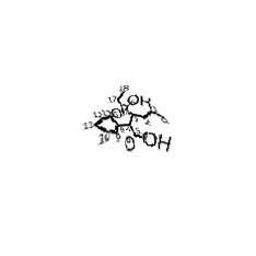 CCCC(C(C(=O)O)c1ccccc1)P(=O)(O)CC